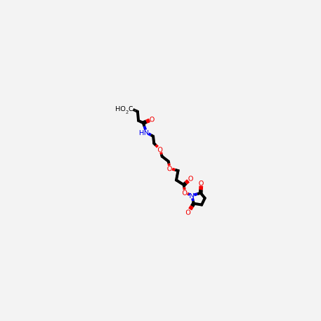 O=C(O)CCC(=O)NCCOCCOCCC(=O)ON1C(=O)CCC1=O